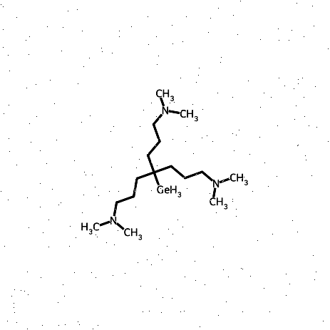 CN(C)CCC[C]([GeH3])(CCCN(C)C)CCCN(C)C